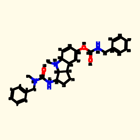 CN(Cc1ccccc1)C(=O)NC1CCC2C3C=C(OC(=O)NCc4ccccc4)C=CC3N(C)C12